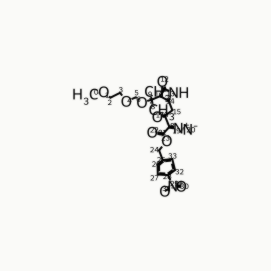 COCCOCOC(C)(C)C1C(=O)NC1CC(=O)C(=[N+]=[N-])C(=O)OCc1ccc([N+](=O)[O-])cc1